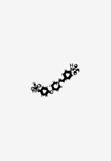 CS(=O)(=O)Nc1ccc(CCN2CCC(Oc3ccc(NS(C)(=O)=O)cc3)CC2)cc1